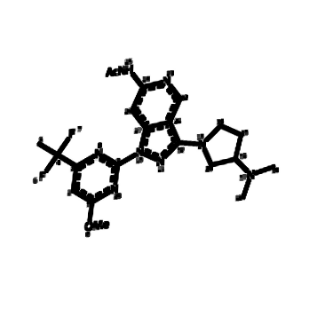 COc1cc(C(C)(F)F)nc(-n2nc(N3CCC(N(C)C)C3)c3cnc(NC(C)=O)cc32)n1